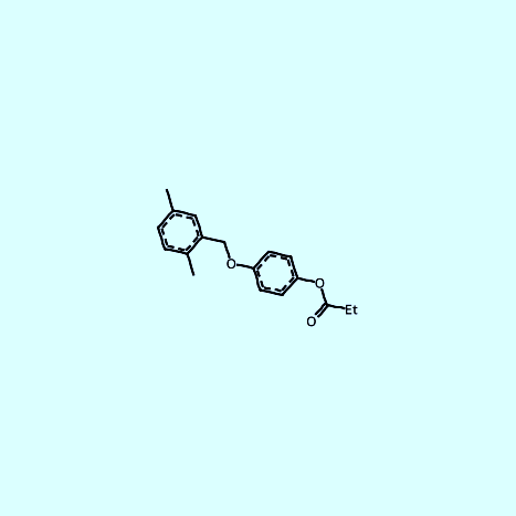 CCC(=O)Oc1ccc(OCc2cc(C)ccc2C)cc1